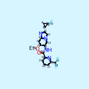 CCOc1cc2nc([C@@H]3C[C@H]3F)cn2cc1NC(=O)c1cccc(C(F)F)n1